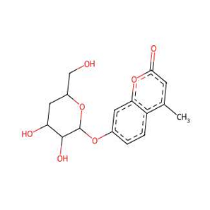 Cc1cc(=O)oc2cc(OC3OC(CO)CC(O)C3O)ccc12